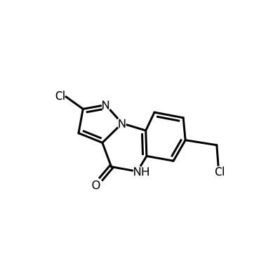 O=c1[nH]c2cc(CCl)ccc2n2nc(Cl)cc12